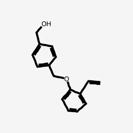 C=Cc1ccccc1OCc1ccc(CO)cc1